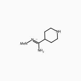 CN/N=C(\N)C1CCNCC1